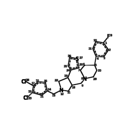 Fc1ccc(C2CCN(CC3CN(Cc4ccc(Cl)c(Cl)c4)CC3c3ccsc3)CC2)cc1